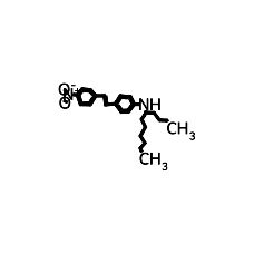 CCCCCCC(CCCC)Nc1ccc(/C=C/c2ccc([N+](=O)[O-])cc2)cc1